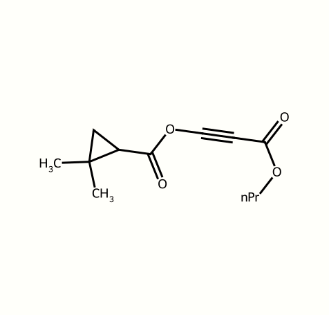 CCCOC(=O)C#COC(=O)C1CC1(C)C